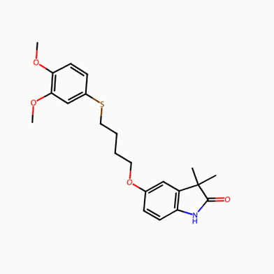 COc1ccc(SCCCCOc2ccc3c(c2)C(C)(C)C(=O)N3)cc1OC